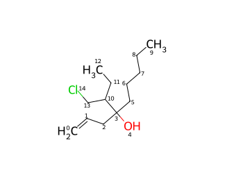 C=CCC(O)(CCCCC)C(CC)CCl